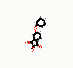 O=c1c(=O)c2ccc(Oc3ccccc3)cc2c1=O